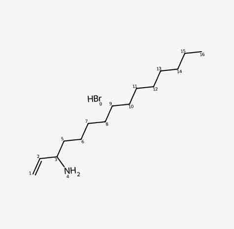 Br.C=CC(N)CCCCCCCCCCCC